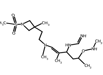 CNOC(C)CC(NC=N)/C(C)=C/N(C)CCC1(C)CN(S(C)(=O)=O)C1